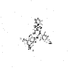 Cc1cc(F)ccc1[C@@H]1CN(S(=O)(=O)c2cccnc2)CC[C@H]1C(=O)N(Cc1cc(C(F)(F)F)cc(C(F)(F)F)c1)C1CC1.Cl